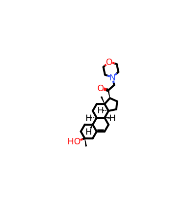 C[C@@]1(O)CC[C@H]2C(=CC[C@@H]3[C@@H]2CC[C@]2(C)[C@@H](C(=O)CN4CCOCC4)CC[C@@H]32)C1